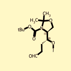 CC(C)(C)OC(=O)N1[C@H]([C@@H](CCC=O)OI)COC1(C)C